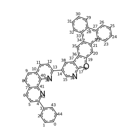 c1ccc(-c2ccc3ccc4ccc(-c5cnc6oc7cc8c9ccccc9c9ccccc9c8cc7c6c5)nc4c3n2)cc1